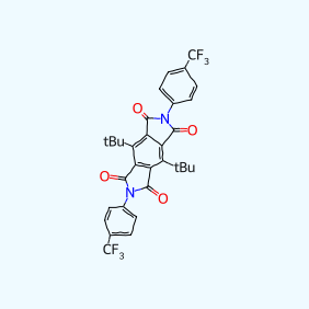 CC(C)(C)c1c2c(=O)n(-c3ccc(C(F)(F)F)cc3)c(=O)c2c(C(C)(C)C)c2c(=O)n(-c3ccc(C(F)(F)F)cc3)c(=O)c12